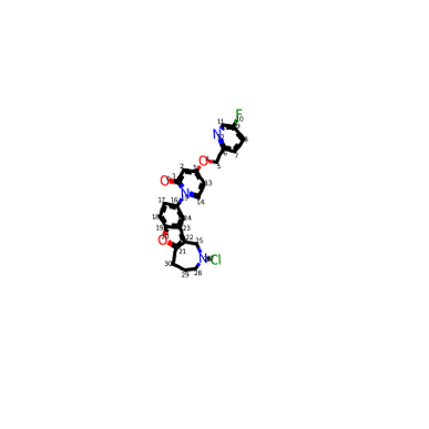 O=c1cc(OCc2ccc(F)cn2)ccn1-c1ccc2oc3c(c2c1)CN(Cl)CCC3